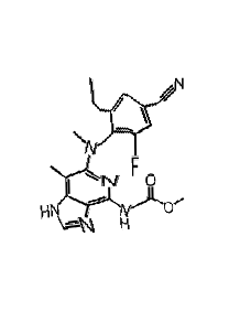 CCc1cc(C#N)cc(F)c1N(C)c1nc(NC(=O)OC)c2nc[nH]c2c1C